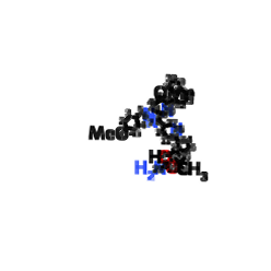 COc1ccc(Cn2nc(-c3ccc(C4CCC(CC(C)(C)OC(N)=O)C4)nc3)c3nc(-c4cccc5c4CCC5)c(OC)cc32)cc1